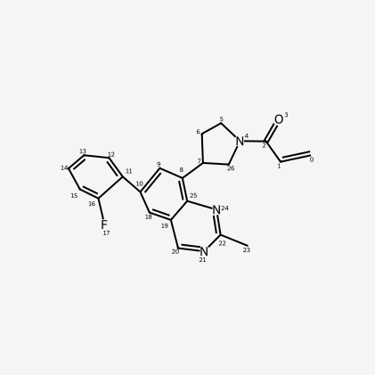 C=CC(=O)N1CCC(c2cc(-c3ccccc3F)cc3cnc(C)nc23)C1